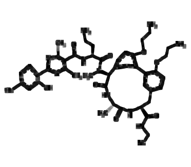 Cc1nc(-c2ccc(C(C)(C)C)cc2O)nc(C)c1C(=O)N[C@@H](CCN)C(=O)N(C)[C@@H]1C(=O)N[C@@H](C)C(=O)N[C@H](C(=O)NCC#N)Cc2ccc(OCCN)c(c2)-c2cc1ccc2OCCN